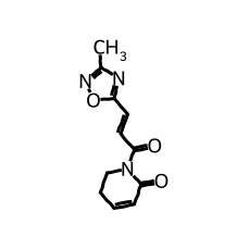 Cc1noc(C=CC(=O)N2CCC=CC2=O)n1